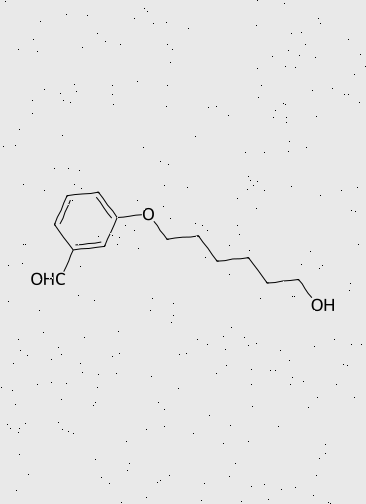 O=Cc1cccc(OCCCCCCO)c1